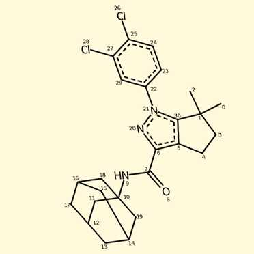 CC1(C)CCc2c(C(=O)NC34CC5CC(CC(C5)C3)C4)nn(-c3ccc(Cl)c(Cl)c3)c21